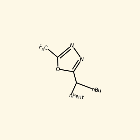 CCCCCC(CCCC)c1nnc(C(F)(F)F)o1